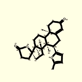 Cc1ccc([C@@H]2CC3=CC(=O)CC[C@]3(C)C3CC[C@@]4(C)[C@@H](CC[C@@]45CCC(=O)O5)[C@@H]32)o1